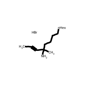 Br.CC#CC(C)(N)CCCCCCCCCC